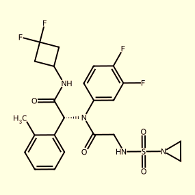 Cc1ccccc1[C@H](C(=O)NC1CC(F)(F)C1)N(C(=O)CNS(=O)(=O)N1CC1)c1ccc(F)c(F)c1